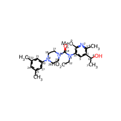 COc1nc(C)c(C(C)O)cc1N(CC(=O)O)C(=O)N1CCN(c2cc(C)cc(C)c2)CC1